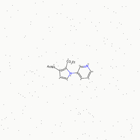 CCOC(=O)c1c(NC(C)=O)ccn1-c1cccnc1